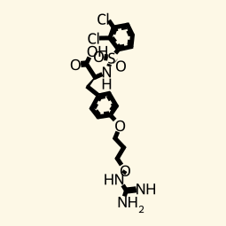 N=C(N)NOCCCOc1ccc(C[C@H](NS(=O)(=O)c2cccc(Cl)c2Cl)C(=O)O)cc1